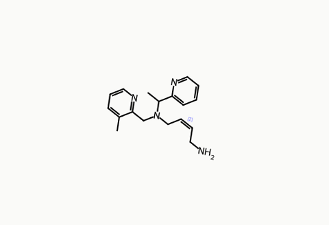 Cc1cccnc1CN(C/C=C\CN)C(C)c1ccccn1